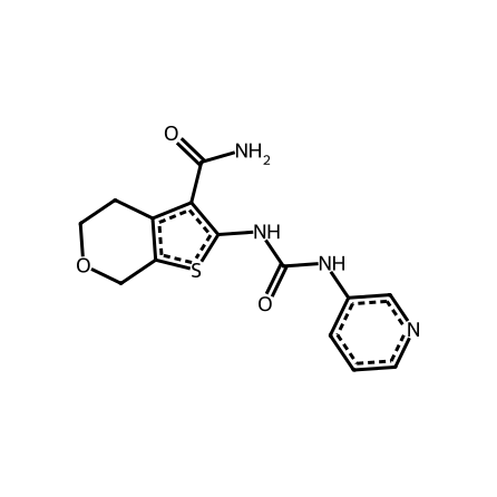 NC(=O)c1c(NC(=O)Nc2cccnc2)sc2c1CCOC2